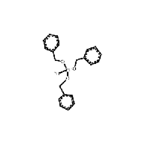 [3H][PH](OCc1ccccc1)(OCc1ccccc1)OCc1ccccc1